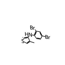 Cc1cs[c]c1Nc1ccc(Br)cc1Br